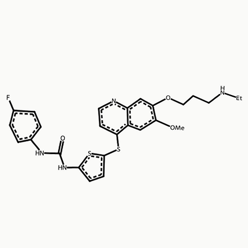 CCNCCCOc1cc2nccc(Sc3ccc(NC(=O)Nc4ccc(F)cc4)s3)c2cc1OC